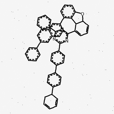 C1=CCC(c2ccc(-c3ccc(-c4nc(C5=CC=CC6Oc7cccc(-c8ccc9cc(-c%10ccccc%10)ccc9c8)c7C56)nc(-c5ccccc5)n4)cc3)cc2)C=C1